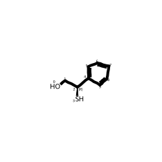 OC[C@H](S)c1ccccc1